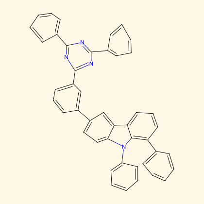 c1ccc(-c2nc(-c3ccccc3)nc(-c3cccc(-c4ccc5c(c4)c4cccc(-c6ccccc6)c4n5-c4ccccc4)c3)n2)cc1